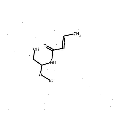 CC=CC(=O)NC(CO)OCC